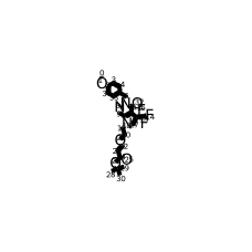 COc1ccc(Cn2ncc3c(c(C(F)(F)F)cn3CCO/C=C/C(=O)OC(C)(C)C)c2=O)cc1